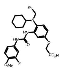 COc1ccc(NC(=O)Nc2cc(OCC(=O)O)ccc2N(CC(C)C)C2CCCCC2)cc1F